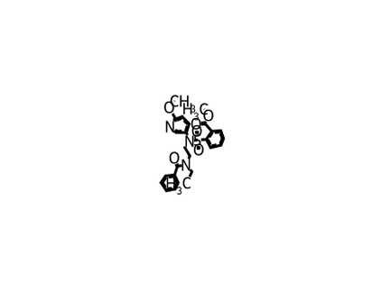 CCN(CCN(c1ccc(OC)nc1)S(=O)(=O)c1ccccc1C(=O)OC)C(=O)c1ccccc1